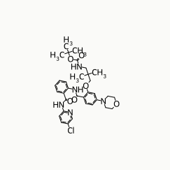 CC(C)(CNC(=O)OC(C)(C)C)COc1cc(N2CCOCC2)ccc1C(=O)Nc1ccccc1C(=O)Nc1ccc(Cl)cn1